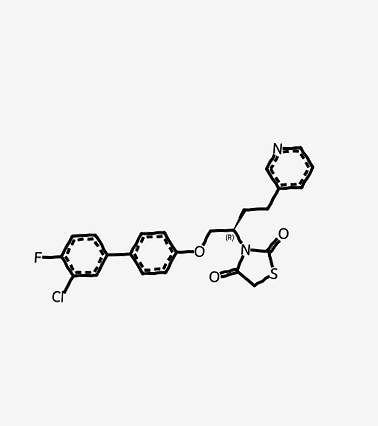 O=C1CSC(=O)N1[C@H](CCc1cccnc1)COc1ccc(-c2ccc(F)c(Cl)c2)cc1